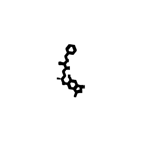 Cc1n[nH]c2cc(F)c(O[C@H](C)CCNC(=O)OCc3ccccc3)cc12